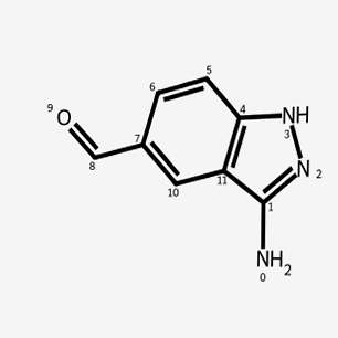 Nc1n[nH]c2ccc(C=O)cc12